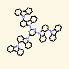 c1ccc2c(c1)c1ccccc1n2-c1cccc2c1c1ccccc1n2-c1cc(-n2c3ccccc3c3c(-n4c5ccccc5c5ccccc54)cccc32)nc(-n2c3ccccc3c3c(-n4c5ccccc5c5ccccc54)cccc32)n1